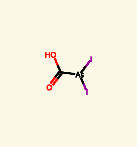 O=C(O)[As](I)I